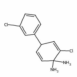 NC1(N)C=CC(c2cccc(Cl)c2)C=C1Cl